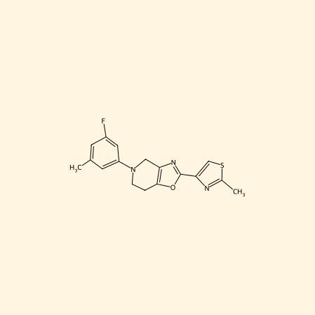 Cc1cc(F)cc(N2CCc3oc(-c4csc(C)n4)nc3C2)c1